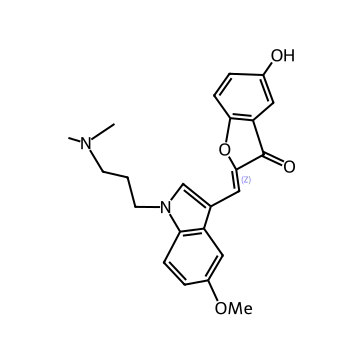 COc1ccc2c(c1)c(/C=C1\Oc3ccc(O)cc3C1=O)cn2CCCN(C)C